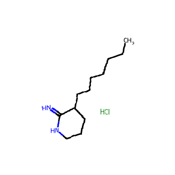 CCCCCCCC1CCCNC1=N.Cl